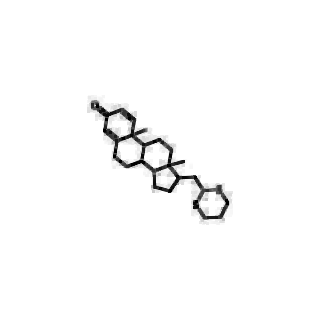 CC12C=CC(=O)C=C1CCC1C2CCC2(C)C(CC3SCCCS3)CCC12